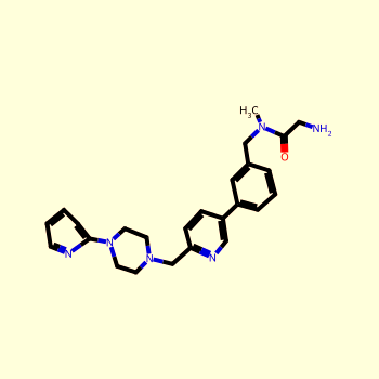 CN(Cc1cccc(-c2ccc(CN3CCN(c4ccccn4)CC3)nc2)c1)C(=O)CN